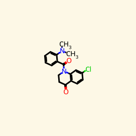 CN(C)c1ccccc1C(=O)N1CCC(=O)c2ccc(Cl)cc21